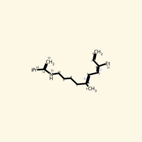 C=C/C(=C\C=C(/C)CCCCNC(=C)C(C)C)CC